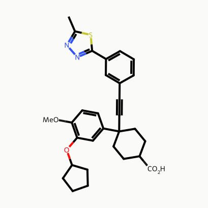 COc1ccc(C2(C#Cc3cccc(-c4nnc(C)s4)c3)CCC(C(=O)O)CC2)cc1OC1CCCC1